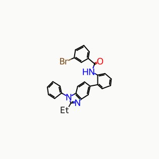 CCc1nc2cc(-c3ccccc3NC(=O)c3cccc(Br)c3)ccc2n1-c1ccccc1